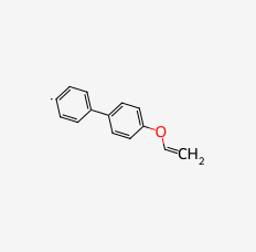 C=COc1ccc(-c2cc[c]cc2)cc1